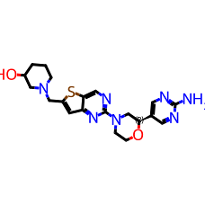 Nc1ncc([C@@H]2CN(c3ncc4sc(CN5CCCC(O)C5)cc4n3)CCO2)cn1